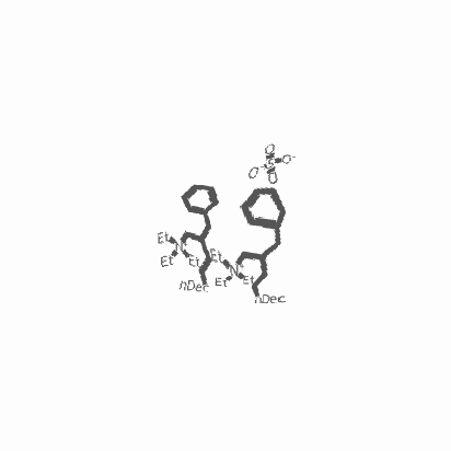 CCCCCCCCCCCCC(Cc1ccccc1)C[N+](CC)(CC)CC.CCCCCCCCCCCCC(Cc1ccccc1)C[N+](CC)(CC)CC.O=S(=O)([O-])[O-]